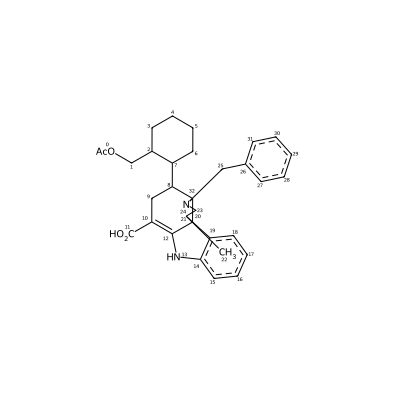 CC(=O)OCC1CCCCC1C1CC(C(=O)O)=C2Nc3ccccc3C23C(C)CN(Cc2ccccc2)C13